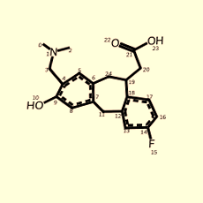 CN(C)Cc1cc2c(cc1O)Cc1cc(F)ccc1C(CC(=O)O)C2